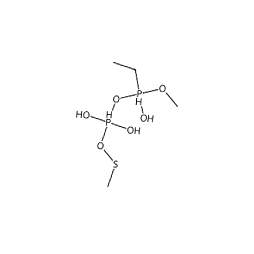 CC[PH](O)(OC)O[PH](O)(O)OSC